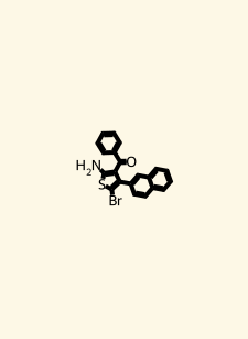 Nc1sc(Br)c(-c2ccc3ccccc3c2)c1C(=O)c1ccccc1